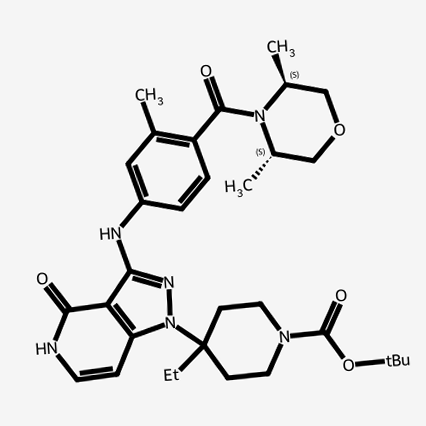 CCC1(n2nc(Nc3ccc(C(=O)N4[C@@H](C)COC[C@@H]4C)c(C)c3)c3c(=O)[nH]ccc32)CCN(C(=O)OC(C)(C)C)CC1